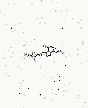 C=Cc1ccc(Cl)c2c1cnn2COCC[Si](C)(C)C